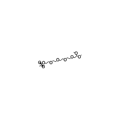 COC(COCCOCCOCCOCCOS(C)(=O)=O)OC